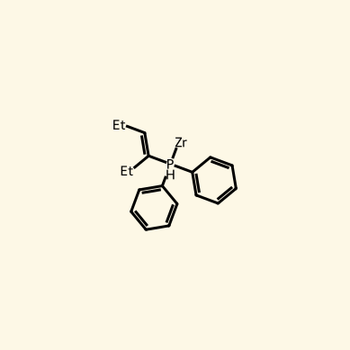 CCC=C(CC)[PH]([Zr])(c1ccccc1)c1ccccc1